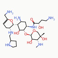 CN[C@@H]1[C@@H](O)[C@@H](O[C@H]2[C@H](NC(=O)[C@@H](O)CCN)C[C@H](N)C([C@H]3OC(CN)=CC[C@H]3NCC3CCCN3)[C@@H]2O)OC[C@]1(C)O